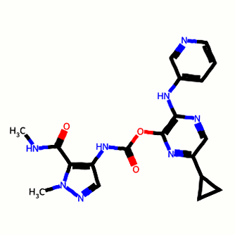 CNC(=O)c1c(NC(=O)Oc2nc(C3CC3)cnc2Nc2cccnc2)cnn1C